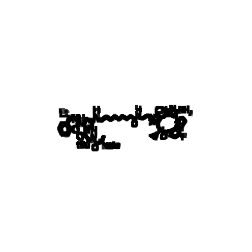 CC[C@H](NC(=O)[C@H]1C[C@@H](NCCCCCCCCC(=O)NCCn2nc3c(c2C#N)-c2cnc(N)c(c2)N2CCC[C@@H]2c2cc(F)ccc2C(=O)N(C2CC2)C3)CN1C(=O)C(NC(=O)[C@@H](C)NC)C(C)(C)C)c1ccccc1